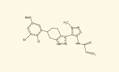 C=CC(=O)Nc1cnn(C)c1-c1n[nH]c2c1CCC(c1cc(OC)cc(CC)c1Cl)C2